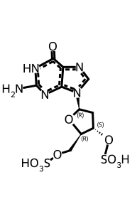 Nc1nc2c(ncn2[C@H]2C[C@H](OS(=O)(=O)O)[C@@H](COS(=O)(=O)O)O2)c(=O)[nH]1